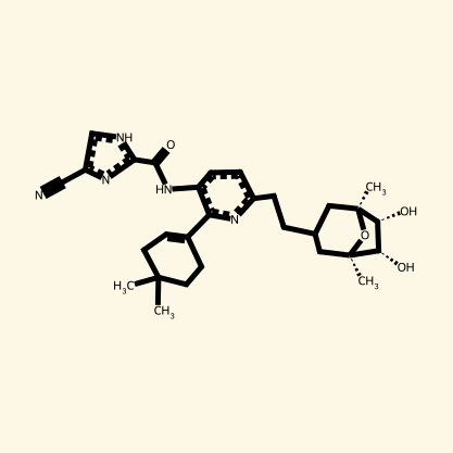 CC1(C)CC=C(c2nc(CCC3C[C@@]4(C)O[C@@](C)(C3)[C@H](O)[C@@H]4O)ccc2NC(=O)c2nc(C#N)c[nH]2)CC1